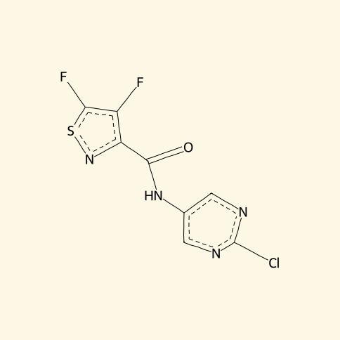 O=C(Nc1cnc(Cl)nc1)c1nsc(F)c1F